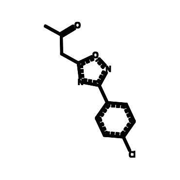 CC(=O)Cc1nc(-c2ccc(Cl)cc2)no1